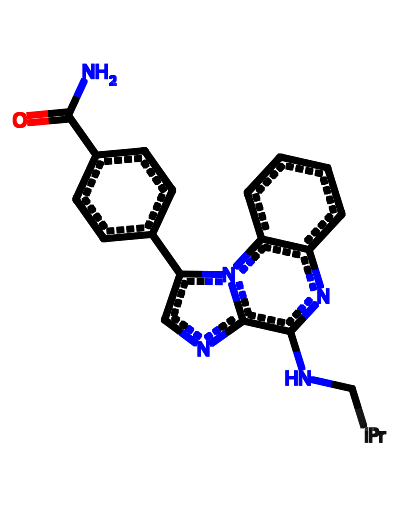 CC(C)CNc1nc2ccccc2n2c(-c3ccc(C(N)=O)cc3)cnc12